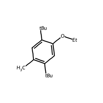 CCOc1cc(C(C)(C)C)c(C)cc1C(C)(C)C